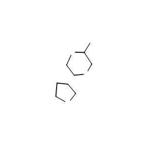 C1CCOC1.CC1COCCO1